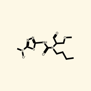 CCCCN(C(=O)Nc1nnc([S+](C)[O-])s1)C(C=O)COC